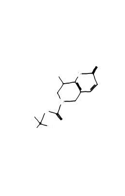 CC1CN(C(=O)OC(C)(C)C)Cc2ccc(=O)[nH]c21